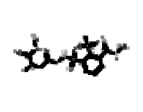 CN(CC(=O)ONS(=O)(=O)c1cccc(C(=O)OC(C)(C)C)c1S(C)(=O)=O)C(=O)OC(C)(C)C